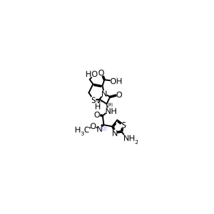 CO/N=C(\C(=O)N[C@@H]1C(=O)N2C(C(=O)O)=C(CO)CS[C@@H]12)c1csc(N)n1